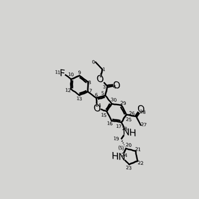 CCOC(=O)c1c(-c2ccc(F)cc2)oc2cc(NC[C@@H]3CCCN3)c(C(C)=O)cc12